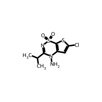 CC(C)C1=NS(=O)(=O)c2sc(Cl)cc2N1N